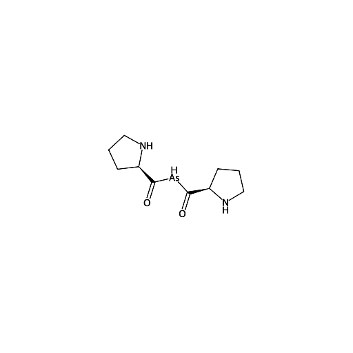 O=C([AsH]C(=O)[C@H]1CCCN1)[C@H]1CCCN1